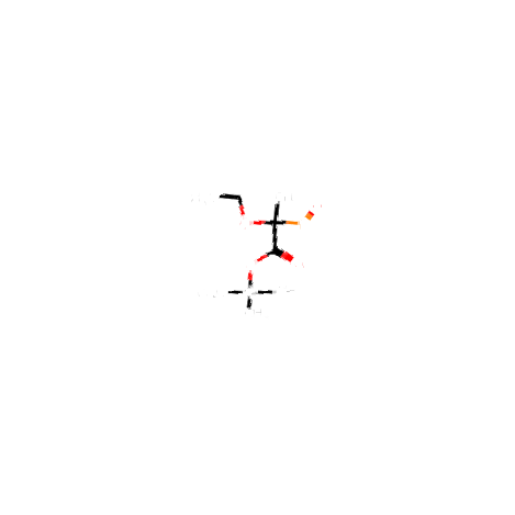 CCOC(C)(P=O)C(=O)O[Si](C)(C)C